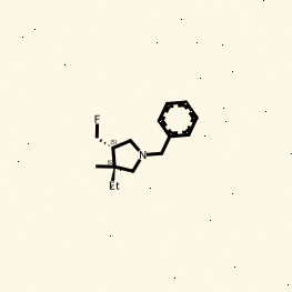 CC[C@]1(C)CN(Cc2ccccc2)C[C@H]1CF